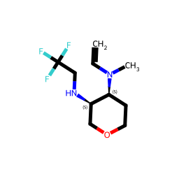 C=CN(C)[C@H]1CCOC[C@H]1NCC(F)(F)F